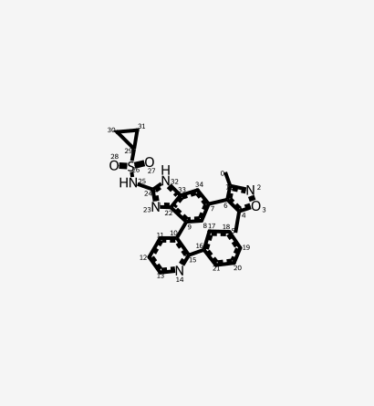 Cc1noc(C)c1-c1cc(-c2cccnc2-c2ccccc2)c2nc(NS(=O)(=O)C3CC3)[nH]c2c1